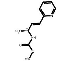 C[C@@H](C=Cc1ccccn1)NC(=O)OC(C)(C)C